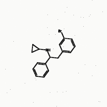 Brc1cccc(CC(NC2CC2)c2ccccc2)c1